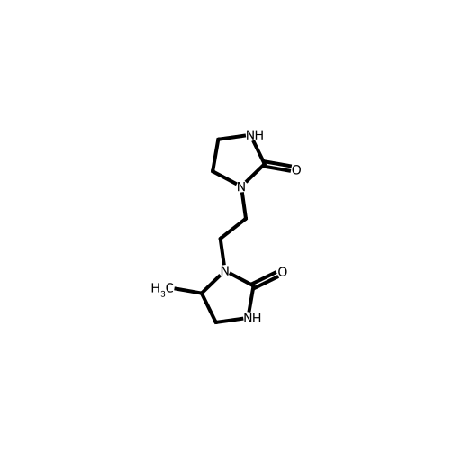 CC1CNC(=O)N1CCN1CCNC1=O